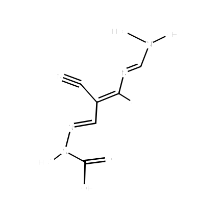 CN(C)C=NC(Cl)=C(C#N)C=NN(C)C(=O)O